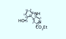 CCOC(=O)c1cc2c(cn1)[nH]c1cccc(CO)c12